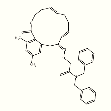 Cc1cc(C)c2c(c1)CC(=N\OCC(=O)N(Cc1ccccc1)Cc1ccccc1)/C=C/CC/C=C/CCOC2=O